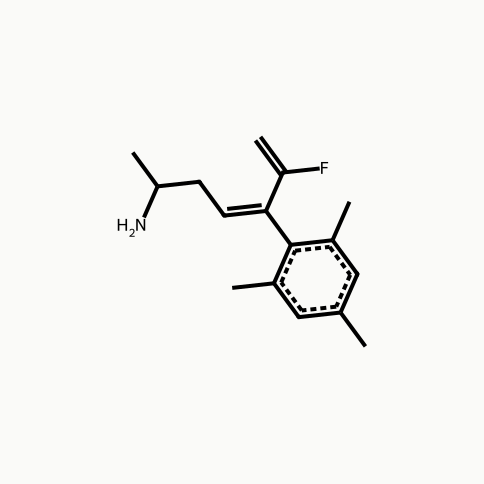 C=C(F)/C(=C\CC(C)N)c1c(C)cc(C)cc1C